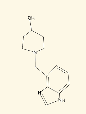 OC1CCN(Cc2cccc3[nH]cnc23)CC1